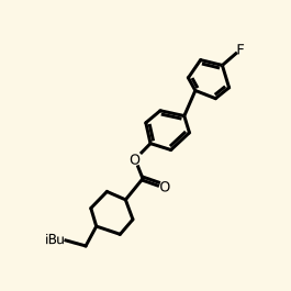 CCC(C)CC1CCC(C(=O)Oc2ccc(-c3ccc(F)cc3)cc2)CC1